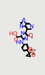 COc1nc(Nc2ccc(C3(S(C)(=O)=O)CC3)cc2)c(C(=O)O)nc1-c1cncc2c1ncn2C